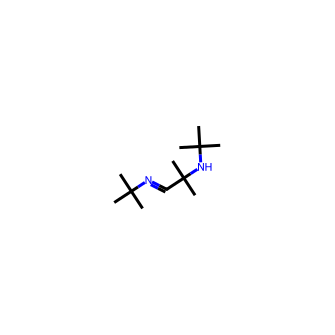 CC(C)(C)/N=C/C(C)(C)NC(C)(C)C